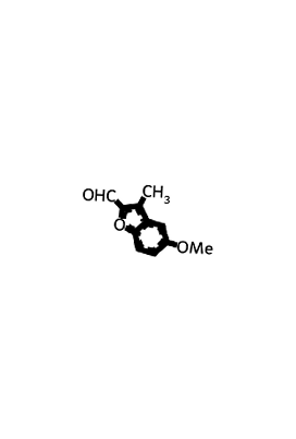 COc1ccc2oc(C=O)c(C)c2c1